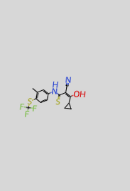 Cc1cc(NC(=S)/C(C#N)=C(/O)C2CC2)ccc1SC(F)(F)F